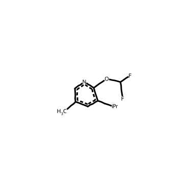 Cc1cnc(OC(F)F)c(C(C)C)c1